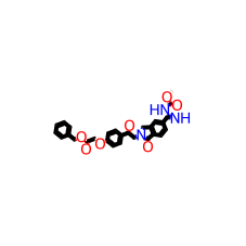 COC(=O)NC(=N)c1ccc2c(c1)CN(CC(=O)c1ccc(OCC(=O)OCc3ccccc3)cc1)C2=O